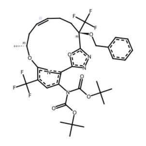 C[C@@H]1C/C=C\CC[C@](OCc2ccccc2)(C(F)(F)F)c2nnc(o2)-c2nc(c(C(F)(F)F)cc2N(C(=O)OC(C)(C)C)C(=O)OC(C)(C)C)O1